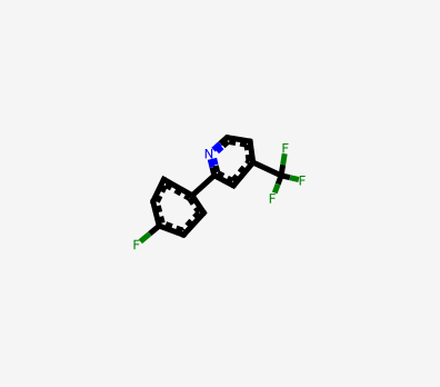 Fc1ccc(-c2cc(C(F)(F)F)ccn2)cc1